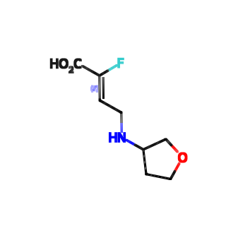 O=C(O)/C(F)=C/CNC1CCOC1